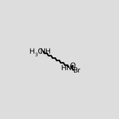 CNCCCCCCCCCCCCNC(=O)CBr